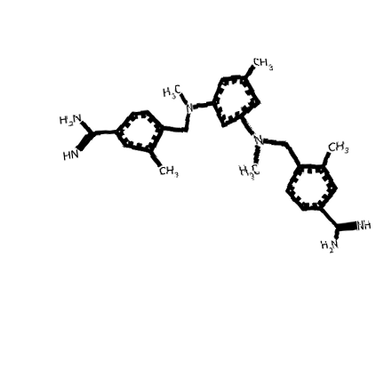 Cc1cc(N(C)Cc2ccc(C(=N)N)cc2C)cc(N(C)Cc2ccc(C(=N)N)cc2C)c1